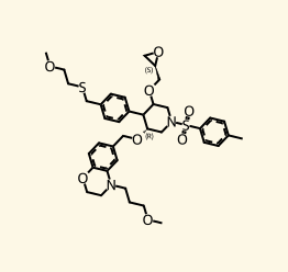 COCCCN1CCOc2ccc(CO[C@H]3CN(S(=O)(=O)c4ccc(C)cc4)CC(OC[C@H]4CO4)C3c3ccc(CSCCOC)cc3)cc21